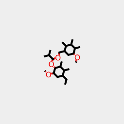 CCC1CC(OC)C(OC(OCC2CC(OC)C(C)C(C)C2C)C(C)C)C(C)C1C